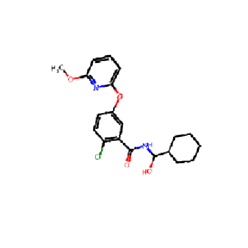 COc1cccc(Oc2ccc(Cl)c(C(=O)NC(O)C3CCCCC3)c2)n1